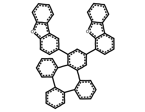 c1ccc2c(c1)-c1ccccc1-c1cc(-c3cccc4c3oc3ccccc34)cc(-c3ccc4oc5ccccc5c4c3)c1-c1ccccc1-2